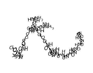 Cc1sc2c(c1C)C(c1ccc(Cl)cc1)=N[C@@H](CC(=O)Nc1ccc(OCCOCCOCCNC(=O)[C@H](CCCNC(=N)N)NC(=O)[C@H](CCCNC(=N)N)NC(=O)CCOCCOCCOCCNC(=O)CCNC(=O)c3nc(NC(=O)CCNC(=O)c4cc(NC(=O)c5nc(NC(=O)CCNC(=O)c6cc(NC(=O)c7nccn7C)cn6C)cn5C)cn4C)cn3C)cc1)c1nnc(C)n1-2